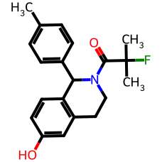 Cc1ccc(C2c3ccc(O)cc3CCN2C(=O)C(C)(C)F)cc1